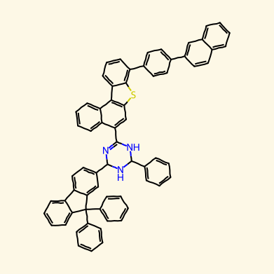 c1ccc(C2NC(c3cc4sc5c(-c6ccc(-c7ccc8ccccc8c7)cc6)cccc5c4c4ccccc34)=NC(c3ccc4c(c3)C(c3ccccc3)(c3ccccc3)c3ccccc3-4)N2)cc1